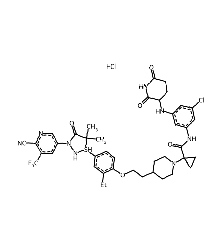 CCc1cc([SH]2NN(c3cnc(C#N)c(C(F)(F)F)c3)C(=O)C2(C)C)ccc1OCCC1CCN(C2(C(=O)Nc3cc(Cl)cc(NC4CCC(=O)NC4=O)c3)CC2)CC1.Cl